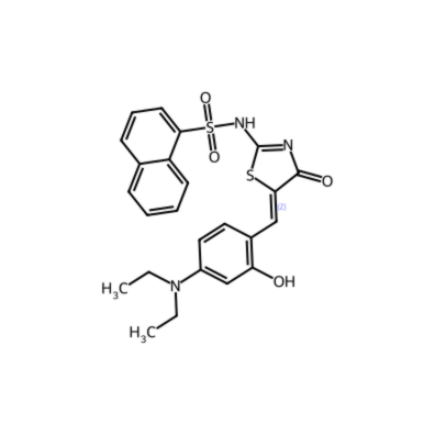 CCN(CC)c1ccc(/C=C2\SC(NS(=O)(=O)c3cccc4ccccc34)=NC2=O)c(O)c1